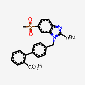 CCCCc1nc2ccc(S(C)(=O)=O)cc2n1Cc1ccc(-c2ccccc2C(=O)O)cc1